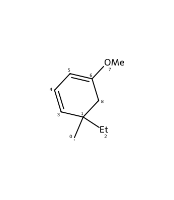 [CH2]C1(CC)C=CC=C(OC)C1